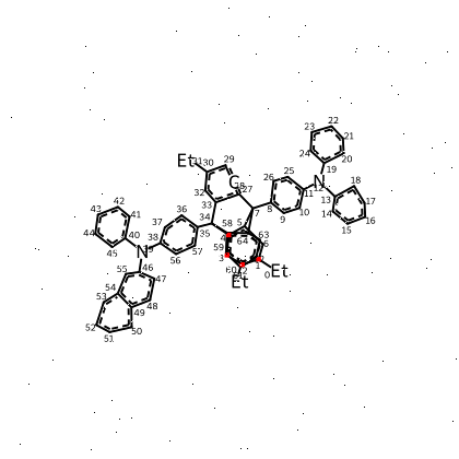 CCc1ccc2c(c1)C1(c3ccc(N(c4ccccc4)c4ccccc4)cc3)c3ccc(CC)cc3C2(c2ccc(N(c3ccccc3)c3ccc4ccccc4c3)cc2)c2cc(CC)ccc21